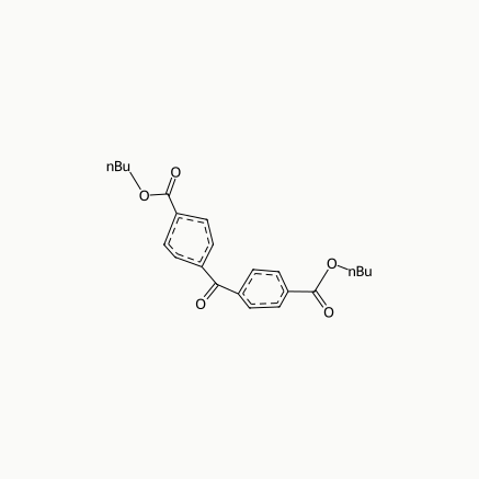 CCCCOC(=O)c1ccc(C(=O)c2ccc(C(=O)OCCCC)cc2)cc1